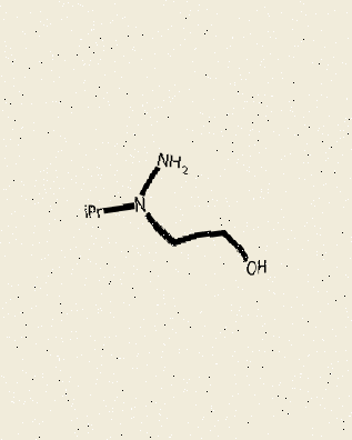 CC(C)N(N)CCO